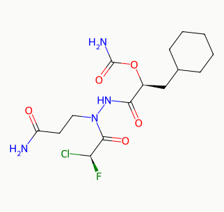 NC(=O)CCN(NC(=O)[C@H](CC1CCCCC1)OC(N)=O)C(=O)[C@@H](F)Cl